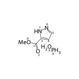 COC(=O)c1ccn[nH]1.O.P